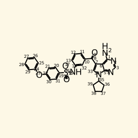 Nc1ncnc2c1c(C(=O)c1cccc(NS(=O)(=O)c3ccc(Oc4ccccc4)cc3)c1)cn2C1CCCC1